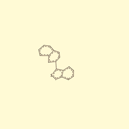 [c]1sc(-c2ccc3ccccc3c2)c2ccccc12